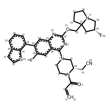 C=CC(=O)N1CCN(c2nc(OCC34CCCN3C[C@H](F)C4)nc3cc(-c4cccc5ccsc45)c(F)cc23)C[C@@H]1CC#N